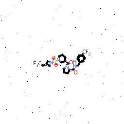 O=C(NCc1ccc(C(F)(F)F)cc1)[C@H]1CCCN1C(=O)[C@H]1CCCN(S(=O)(=O)N2CC(CC(F)(F)F)C2)C1